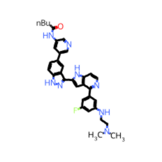 CCCCC(=O)Nc1cncc(-c2ccc3[nH]nc(-c4cc5c(-c6cc(F)cc(NCCN(C)C)c6)nccc5[nH]4)c3c2)c1